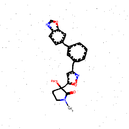 CN1CCC(O)(c2cc(-c3cccc(-c4ccc5ncoc5c4)c3)no2)C1=O